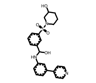 O=S(=O)(c1cccc(C(O)Nc2cccc(-c3ccncc3)c2)c1)N1CCCC(O)C1